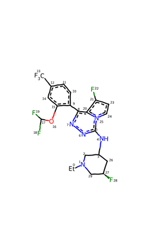 CCN1CC(Nc2nnc(-c3ccc(C(F)(F)F)cc3OC(F)F)c3c(F)ccn23)C[C@@H](F)C1